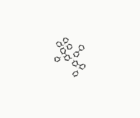 Fc1ccc(-n2c3ccccc3c3cc(N(c4ccc(-c5ccccc5)cc4)c4ccc5c(c4)c4cc([Si](c6ccccc6)(c6ccccc6)c6ccccc6)ccc4n5-c4ccccc4)ccc32)cc1